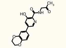 CC(=O)CNC(=O)c1ncc(-c2ccc3c(c2)OCCO3)cc1O